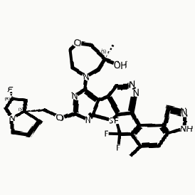 Cc1cc2[nH]ncc2c(-c2nncc3c2sc2nc(OC[C@@]45CCCN4C[C@H](F)C5)nc(N4CCOC[C@@](C)(O)C4)c23)c1C(F)(F)F